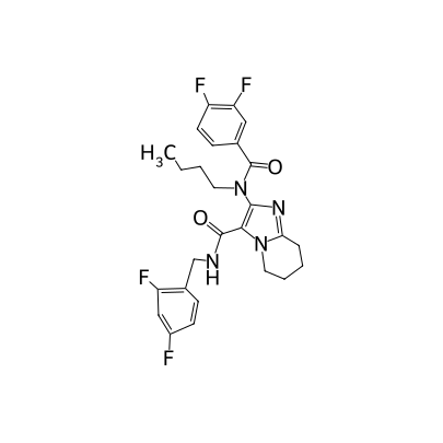 CCCCN(C(=O)c1ccc(F)c(F)c1)c1nc2n(c1C(=O)NCc1ccc(F)cc1F)CCCC2